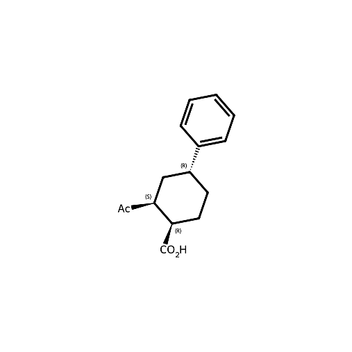 CC(=O)[C@H]1C[C@H](c2ccccc2)CC[C@H]1C(=O)O